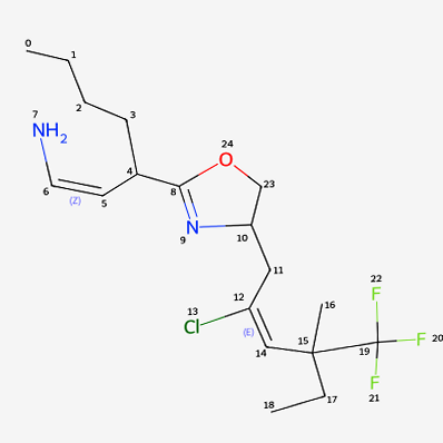 CCCCC(/C=C\N)C1=NC(C/C(Cl)=C\C(C)(CC)C(F)(F)F)CO1